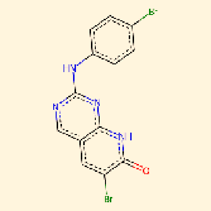 O=c1[nH]c2nc(Nc3ccc(Br)cc3)ncc2cc1Br